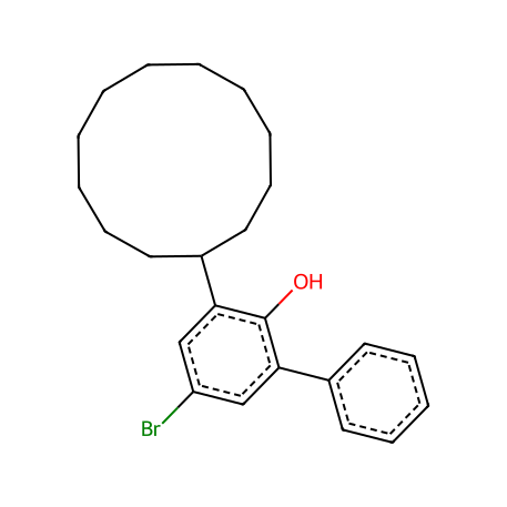 Oc1c(-c2ccccc2)cc(Br)cc1C1CCCCCCCCCCC1